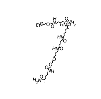 CCOCCOCC(=O)NCCCC[C@H](NC(=O)[C@@H](C)CCCCNC(=O)CCCC(=O)NCCCCOCCOCC(=O)NCCCC[C@H](C)C(N)=O)C(N)=O